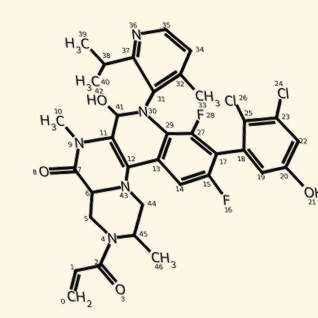 C=CC(=O)N1CC2C(=O)N(C)C3=C(c4cc(F)c(-c5cc(O)cc(Cl)c5Cl)c(F)c4N(c4c(C)ccnc4C(C)C)C3O)N2CC1C